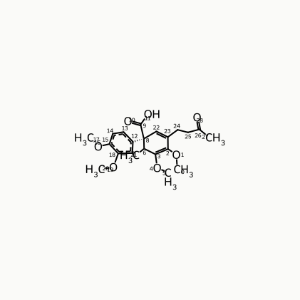 COC1=C(OC)C(C)[C@](C(=O)O)(c2ccc(OC)c(OC)c2)C=C1CCC(C)=O